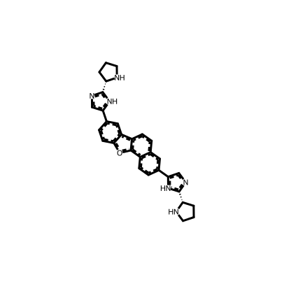 c1cc2c(ccc3c4cc(-c5cnc([C@@H]6CCCN6)[nH]5)ccc4oc23)cc1-c1cnc([C@@H]2CCCN2)[nH]1